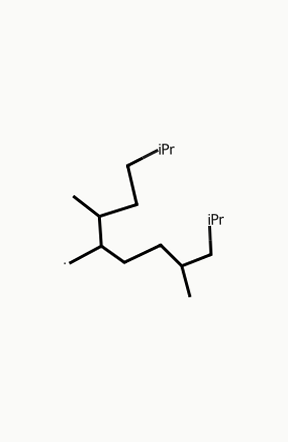 [CH2]C(CCC(C)CC(C)C)C(C)CCC(C)C